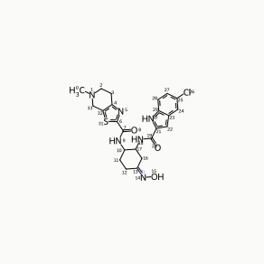 CN1CCc2nc(C(=O)NC3CC/C(=N/O)CC3NC(=O)c3cc4cc(Cl)ccc4[nH]3)sc2C1